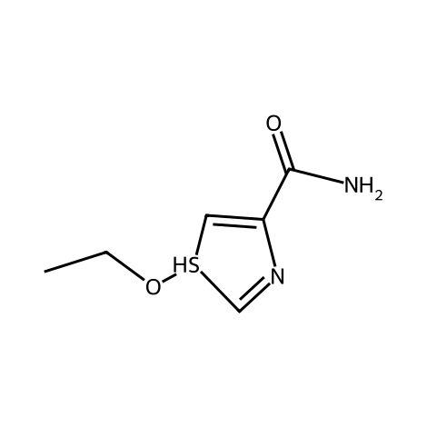 CCO[SH]1C=NC(C(N)=O)=C1